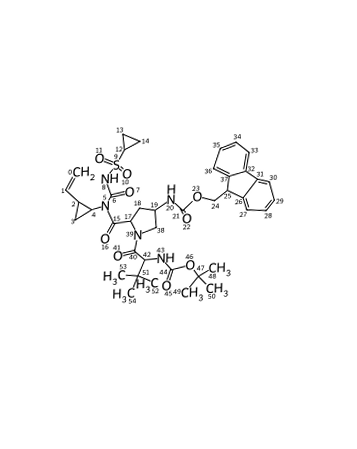 C=CC1CC1N(C(=O)NS(=O)(=O)C1CC1)C(=O)C1CC(NC(=O)OCC2c3ccccc3-c3ccccc32)CN1C(=O)C(NC(=O)OC(C)(C)C)C(C)(C)C